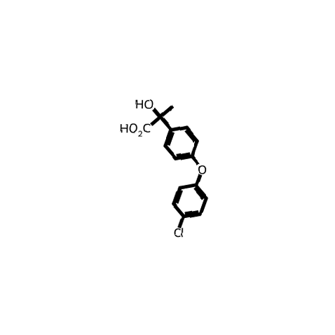 CC(O)(C(=O)O)c1ccc(Oc2ccc(Cl)cc2)cc1